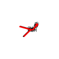 CCCCCCCCCCCCCCCC(=O)OC[C@H](COP(=O)(O)OCCNC(=O)CCC(=O)Oc1c(F)c(F)c(F)c(F)c1F)OC(=O)CCCCCCCCCCCCCCC